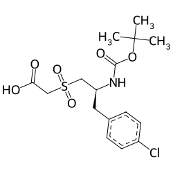 CC(C)(C)OC(=O)N[C@@H](Cc1ccc(Cl)cc1)CS(=O)(=O)CC(=O)O